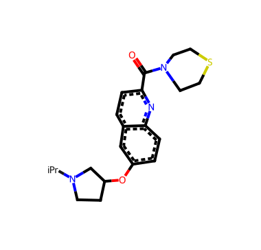 CC(C)N1CCC(Oc2ccc3nc(C(=O)N4CCSCC4)ccc3c2)C1